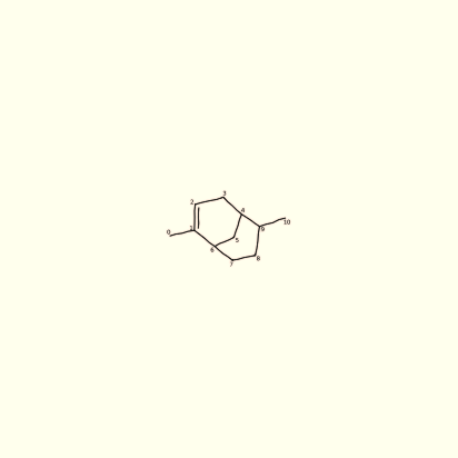 CC1=CCC2CC1CCC2C